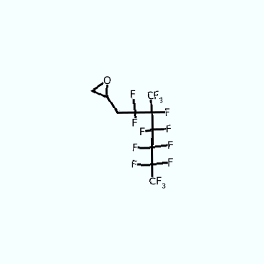 FC(F)(F)C(F)(F)C(F)(F)C(F)(F)C(F)(C(F)(F)F)C(F)(F)CC1CO1